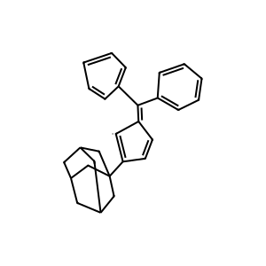 [C]1=C(C23CC4CC(CC(C4)C2)C3)C=CC1=C(c1ccccc1)c1ccccc1